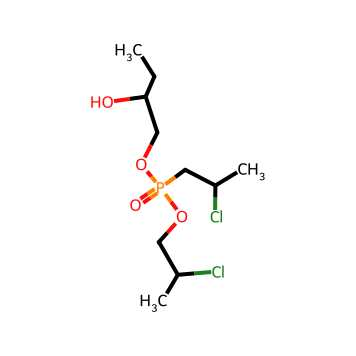 CCC(O)COP(=O)(CC(C)Cl)OCC(C)Cl